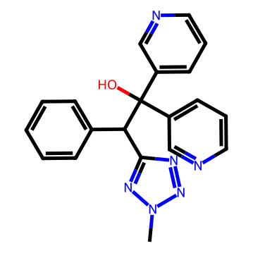 Cn1nnc(C(c2ccccc2)C(O)(c2cccnc2)c2cccnc2)n1